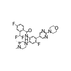 C[C@@H]1CN(c2cc(F)c(-c3cnc(N4CCOCC4)nc3)cc2NC(=O)c2ccc(F)cc2C(F)F)CCN1C